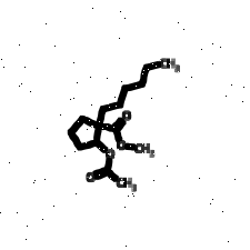 CCCCCCC1(C(=O)OC)CCCC1OC(C)=O